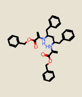 C=C(NC([CH]C(Cc1ccccc1)NC(=C)C(=O)OCc1ccccc1)Cc1ccccc1)C(=O)OCc1ccccc1